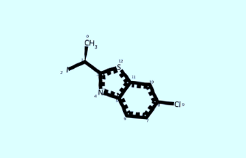 C[C@H](I)c1nc2ccc(Cl)cc2s1